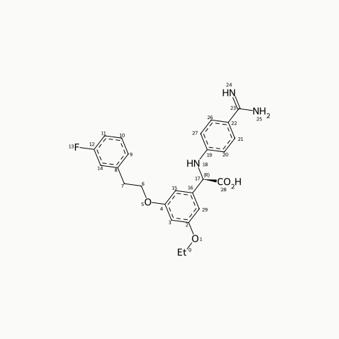 CCOc1cc(OCCc2cccc(F)c2)cc([C@@H](Nc2ccc(C(=N)N)cc2)C(=O)O)c1